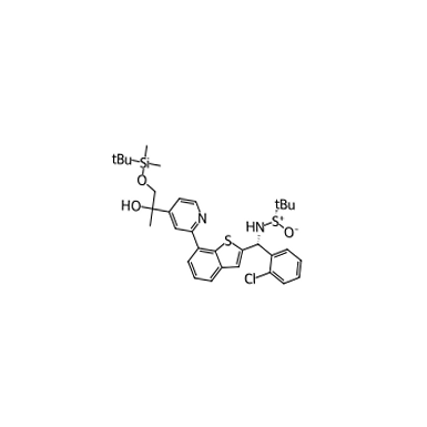 CC(O)(CO[Si](C)(C)C(C)(C)C)c1ccnc(-c2cccc3cc([C@H](N[S@@+]([O-])C(C)(C)C)c4ccccc4Cl)sc23)c1